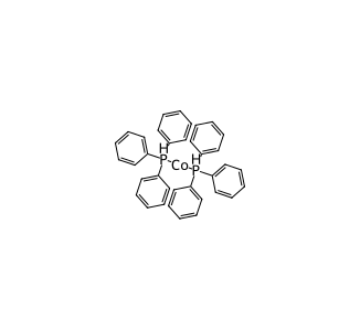 c1ccc([PH]([Co][PH](c2ccccc2)(c2ccccc2)c2ccccc2)(c2ccccc2)c2ccccc2)cc1